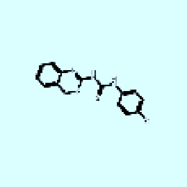 S=C(NC1=Nc2ccccc2CS1)Nc1ccc(Cl)cc1